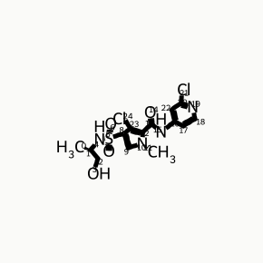 C[C@H](CO)NS(=O)(=O)c1cn(C)c(C(=O)Nc2ccnc(Cl)c2)c1Cl